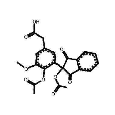 COc1cc(CC(=O)O)cc(C2(OC(C)=O)C(=O)c3ccccc3C2=O)c1OC(C)=O